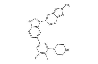 Cn1cc2cc(-c3c[nH]c4ncc(-c5cc(F)c(F)c(N6CCNCC6)c5)cc34)ccc2n1